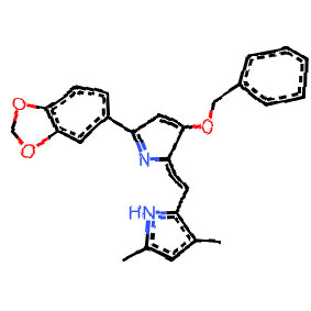 Cc1cc(C)c(C=C2N=C(c3ccc4c(c3)OCO4)C=C2OCc2ccccc2)[nH]1